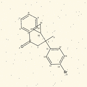 CC(CC(=O)c1ccccc1)(c1ccc(Br)cc1)C1CC1